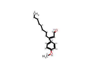 CCCCCCCC/C(=C\C=O)c1ccc(OC)cc1